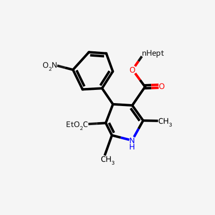 CCCCCCCOC(=O)C1=C(C)NC(C)=C(C(=O)OCC)C1c1cccc([N+](=O)[O-])c1